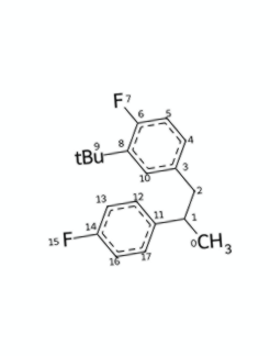 CC(Cc1ccc(F)c(C(C)(C)C)c1)c1ccc(F)cc1